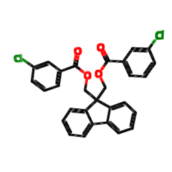 O=C(OCC1(COC(=O)c2cccc(Cl)c2)c2ccccc2-c2ccccc21)c1cccc(Cl)c1